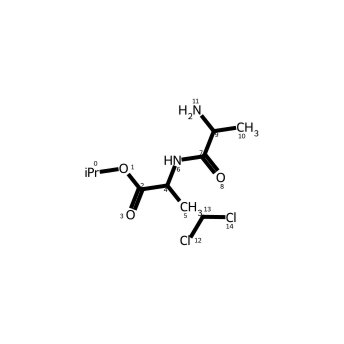 CC(C)OC(=O)C(C)NC(=O)C(C)N.ClCCl